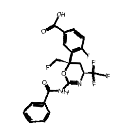 O=C(O)c1ccc(F)c([C@]2(CF)C[C@@H](C(F)(F)F)N=C(NC(=O)c3ccccc3)O2)c1